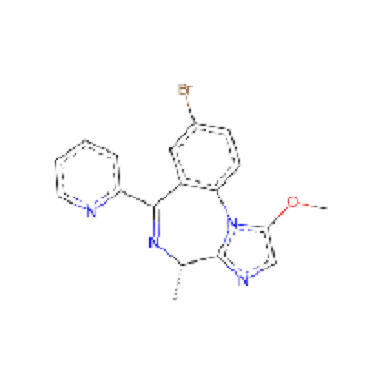 COc1cnc2n1-c1ccc(Br)cc1C(c1ccccn1)=N[C@H]2C